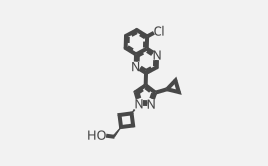 OC[C@H]1C[C@H](n2cc(-c3cnc4c(Cl)cccc4n3)c(C3CC3)n2)C1